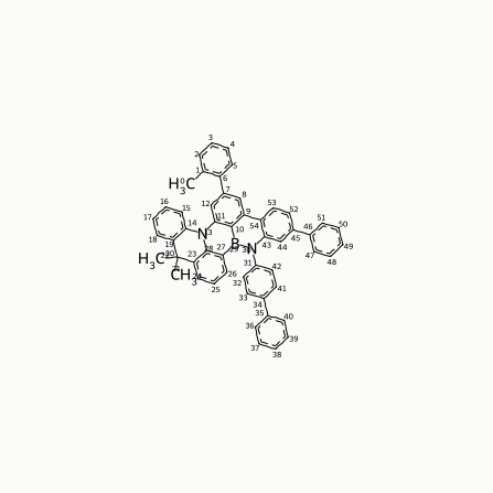 Cc1ccccc1-c1cc2c3c(c1)N1c4ccccc4C(C)(C)c4cccc(c41)B3N(c1ccc(-c3ccccc3)cc1)c1cc(-c3ccccc3)ccc1-2